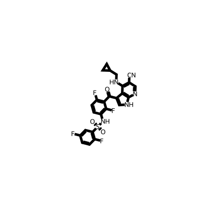 N#Cc1cnc2[nH]cc(C(=O)c3c(F)ccc(NS(=O)(=O)c4cc(F)ccc4F)c3F)c2c1NCC1CC1